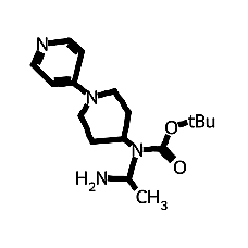 CC(N)N(C(=O)OC(C)(C)C)C1CCN(c2ccncc2)CC1